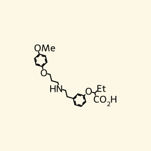 CCC(Oc1cccc(CCNCCCOc2ccc(OC)cc2)c1)C(=O)O